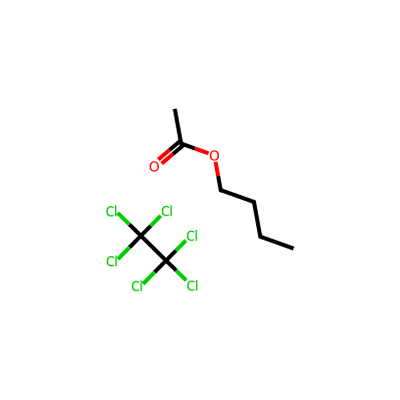 CCCCOC(C)=O.ClC(Cl)(Cl)C(Cl)(Cl)Cl